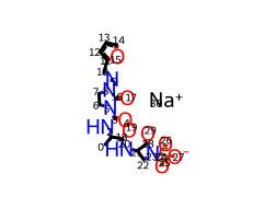 CC(NC(=O)N1CCN(N=Cc2ccco2)C1=O)C(=O)NC1CN(S(=O)(=O)[O-])C1=O.[Na+]